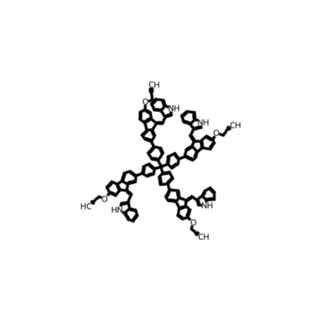 C#CCOc1ccc2c(c1)/C(=C\c1c[nH]c3ccccc13)c1cc(-c3ccc(C(c4ccc(-c5ccc6c(c5)/C(=C/c5c[nH]c7ccccc57)c5cc(OCC#C)ccc5-6)cc4)(c4ccc(-c5ccc6c(c5)/C(=C/c5c[nH]c7ccccc57)c5cc(OCC#C)ccc5-6)cc4)c4ccc(-c5ccc6c(c5)/C(=C/c5c[nH]c7ccccc57)c5cc(OCC#C)ccc5-6)cc4)cc3)ccc1-2